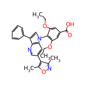 CCOc1cc(C(=O)O)cc(OCC)c1-n1cc(-c2ccccc2)c2ncc(-c3c(C)noc3C)cc21